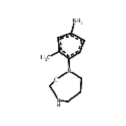 Cc1cc(N)ccc1N1CCCNCC1